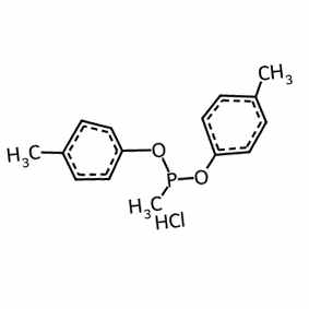 Cc1ccc(OP(C)Oc2ccc(C)cc2)cc1.Cl